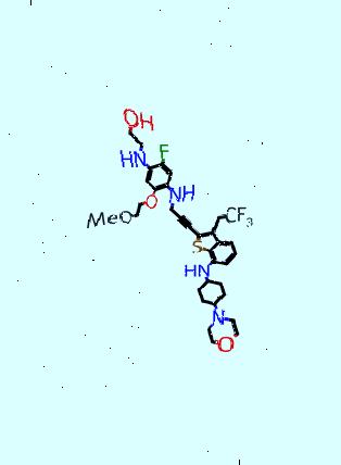 COCCOc1cc(NCCO)c(F)cc1NCC#Cc1sc2c(NC3CCC(N4CCOCC4)CC3)cccc2c1CC(F)(F)F